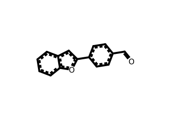 O=Cc1ccc(-c2cc3ccccc3o2)cc1